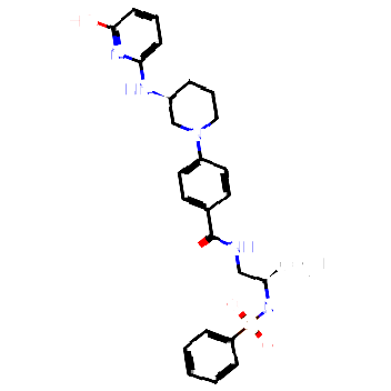 O=C(NC[C@H](NS(=O)(=O)c1ccccc1)C(=O)O)c1ccc(N2CCC[C@H](Nc3cccc(O)n3)C2)cc1